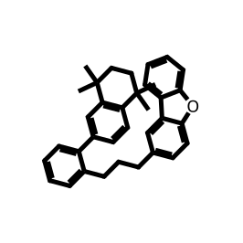 CC1(C)CCC(C)(C)c2cc(-c3ccccc3CCCc3ccc4oc5ccccc5c4c3)ccc21